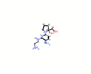 CN(CCN)c1nc(N2CCCC2(O)CO)ccc1N